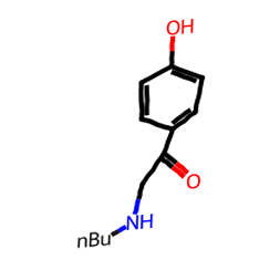 CCCCNCC(=O)c1ccc(O)cc1